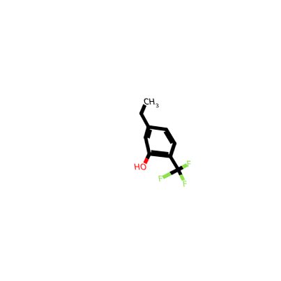 CCc1ccc(C(F)(F)F)c(O)c1